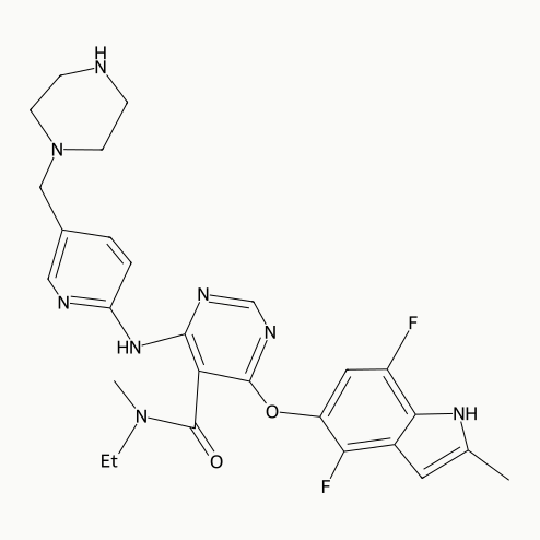 CCN(C)C(=O)c1c(Nc2ccc(CN3CCNCC3)cn2)ncnc1Oc1cc(F)c2[nH]c(C)cc2c1F